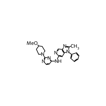 COC1CCN(c2nccc(Nc3cc4c(cn3)nc(C)n4-c3ccccc3)n2)CC1